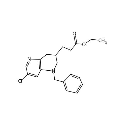 CCOC(=O)CCC1Cc2ncc(Cl)cc2N(Cc2ccccc2)C1